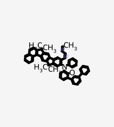 C/C=C\C=C/c1cc2c(cc1N(c1ccccc1)c1cccc3c1oc1c(-c4ccccc4)cccc13)C(C)(C)c1cc3c(cc1-2)C(C)(C)c1ccc2ccccc2c1-3